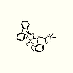 CCOP(=O)(OCC)C(N=C1c2ccccc2-c2ccccc21)C(NC(=O)OC(C)(C)C)c1ccccc1